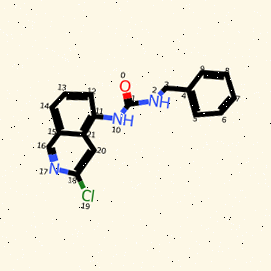 O=C(NCc1ccccc1)Nc1cccc2cnc(Cl)cc12